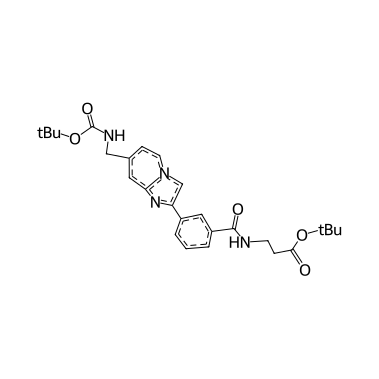 CC(C)(C)OC(=O)CCNC(=O)c1cccc(-c2cn3ccc(CNC(=O)OC(C)(C)C)cc3n2)c1